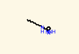 CCCCCCCCCCCNCCc1cccc2[nH]nnc12